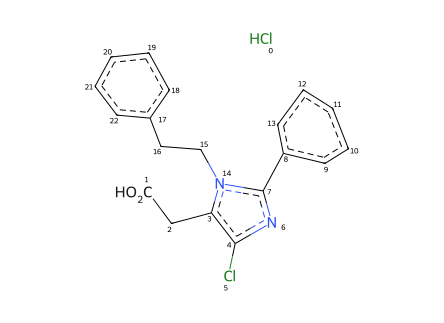 Cl.O=C(O)Cc1c(Cl)nc(-c2ccccc2)n1CCc1ccccc1